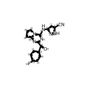 N#Cc1cc(Nc2nc(C(=O)c3ccc(F)cc3)nc3cccn23)n[nH]1